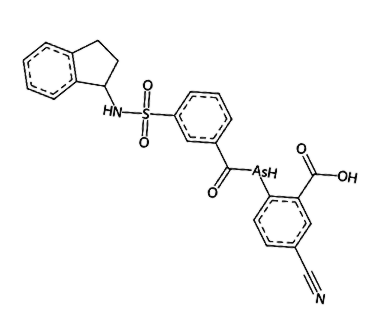 N#Cc1ccc([AsH]C(=O)c2cccc(S(=O)(=O)NC3CCc4ccccc43)c2)c(C(=O)O)c1